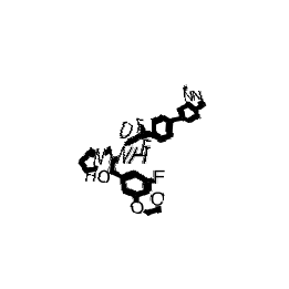 Cn1ncc2ccc(-c3ccc(C(F)(F)C(=O)N[C@H](CN4CCCC4)[C@H](O)c4cc(F)c5c(c4)OCCO5)cc3)cc21